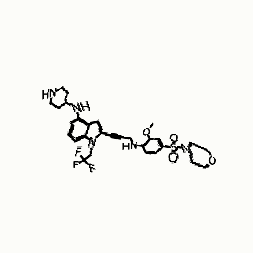 COc1cc(S(=O)(=O)N2CCOCC2)ccc1NCC#Cc1cc2c(NC3CCNCC3)cccc2n1CC(F)(F)F